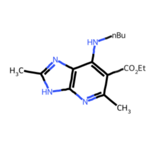 CCCCNc1c(C(=O)OCC)c(C)nc2[nH]c(C)nc12